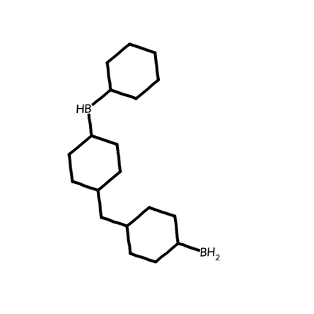 BC1CCC(CC2CCC(BC3CCCCC3)CC2)CC1